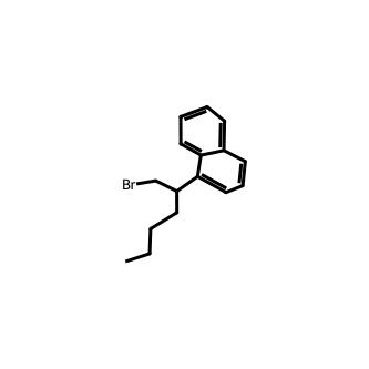 CCCCC(CBr)c1cccc2ccccc12